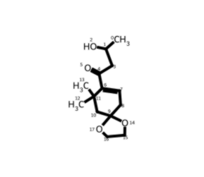 CC(O)CC(=O)C1=CCC2(CC1(C)C)OCCO2